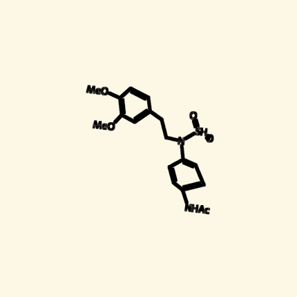 COc1ccc(CCN(c2ccc(NC(C)=O)cc2)[SH](=O)=O)cc1OC